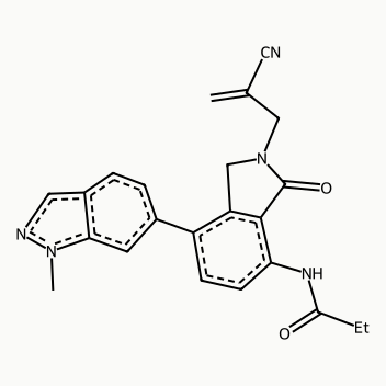 C=C(C#N)CN1Cc2c(-c3ccc4cnn(C)c4c3)ccc(NC(=O)CC)c2C1=O